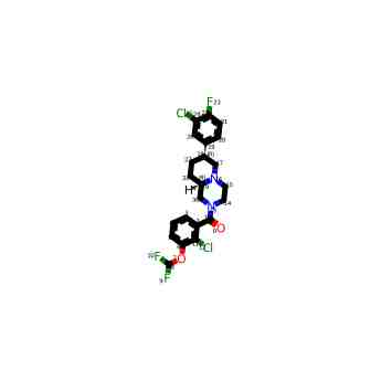 O=C(c1cccc(OC(F)F)c1Cl)N1CCN2C[C@@H](c3ccc(F)c(Cl)c3)CC[C@@H]2C1